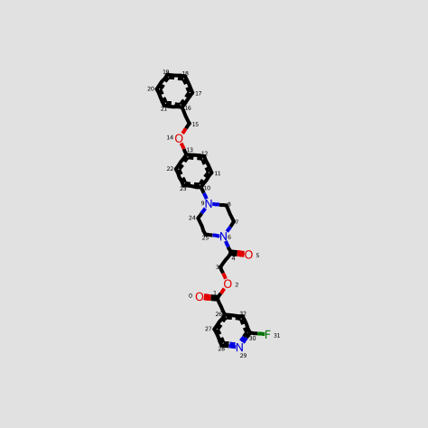 O=C(OCC(=O)N1CCN(c2ccc(OCc3ccccc3)cc2)CC1)c1ccnc(F)c1